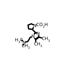 Cc1nc(C2CCCN2C(=O)O)n(CCN(C)C)c1C